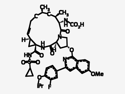 COc1ccc2c(O[C@@H]3C[C@H]4C(=O)N[C@]5(C(=O)NS(=O)(=O)C6CC6)C[C@H]5C=CCC[C@@H](C)C[C@@H](C)[C@H](NC(=O)O)C(=O)N4C3)nc(-c3ccc(OC(C)C)c(F)c3)cc2c1